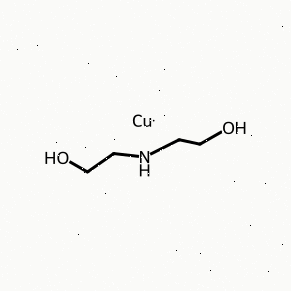 OCCNCCO.[Cu]